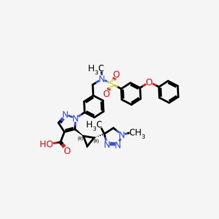 CN1CC(C)([C@@H]2C[C@H]2c2c(C(=O)O)cnn2-c2cccc(CN(C)S(=O)(=O)c3cccc(Oc4ccccc4)c3)c2)N=N1